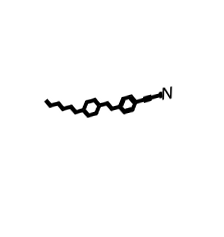 CCCCCCC1CCC(CCc2ccc(C#CC#N)cc2)CC1